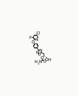 NC(=O)O[C@@H](CO)Cc1nc(-c2ccc(Oc3ncc(Cl)cc3F)cc2)no1